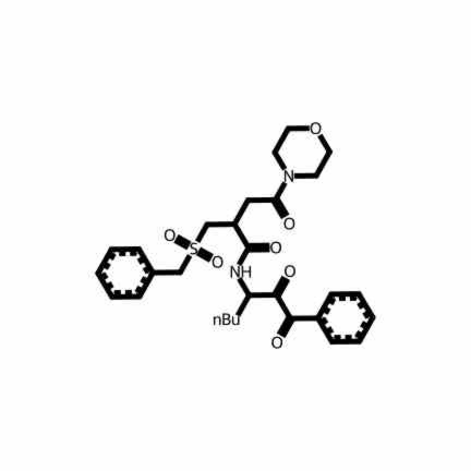 CCCCC(NC(=O)C(CC(=O)N1CCOCC1)CS(=O)(=O)Cc1ccccc1)C(=O)C(=O)c1ccccc1